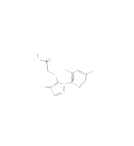 CCCCNC(=O)CNc1c(C#N)cnn1-c1ccc(C(F)(F)F)cc1Cl